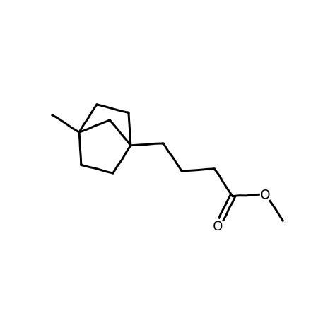 COC(=O)CCCC12CCC(C)(CC1)C2